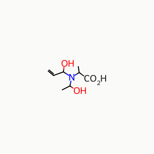 C=CC(O)N(C(C)O)C(C)C(=O)O